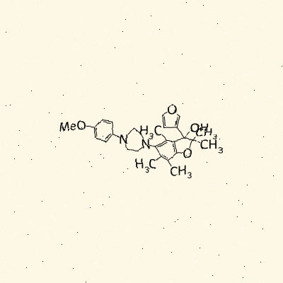 COc1ccc(N2CCN(c3c(C)c(C)c4c(c3C)C(O)(c3ccoc3)C(C)(C)O4)CC2)cc1